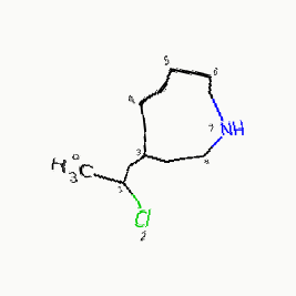 CC(Cl)C1CCCNC1